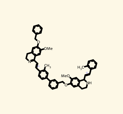 COc1cc2c(cc1OCc1ccccc1)CCN=C2/C=C/c1ccc(-c2cccc(COc3cc4c(cc3OC)C(/C=C/c3ccccc3C)NCC4)c2)cc1C